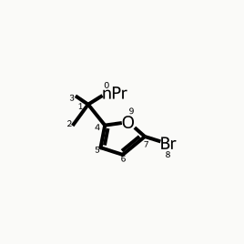 CCCC(C)(C)c1ccc(Br)o1